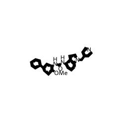 COc1ccc(-c2ccccc2)cc1NC(=O)Nc1cccc2c1ccn2Cc1ccncc1